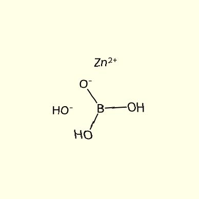 [O-]B(O)O.[OH-].[Zn+2]